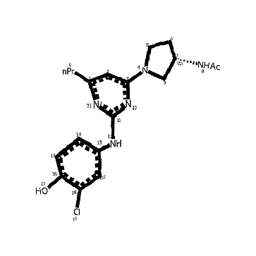 CCCc1cc(N2CC[C@H](NC(C)=O)C2)nc(Nc2ccc(O)c(Cl)c2)n1